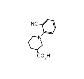 N#Cc1ccccc1N1CCC[C@H](C(=O)O)C1